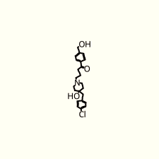 O=C(CCCN1CCC(O)(Cc2ccc(Cl)cc2)CC1)c1ccc(CO)cc1